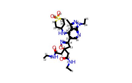 CCNC(=O)CC1(CC(=O)NCC)CC(c2cnc3c(c(C)nn3CC)c2NC2CCS(=O)(=O)CC2)=NO1